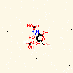 N[C@H]1C(O)O[C@H](CO)[C@@H](O)[C@@H]1O.O=C(O)O.O=C(O)O